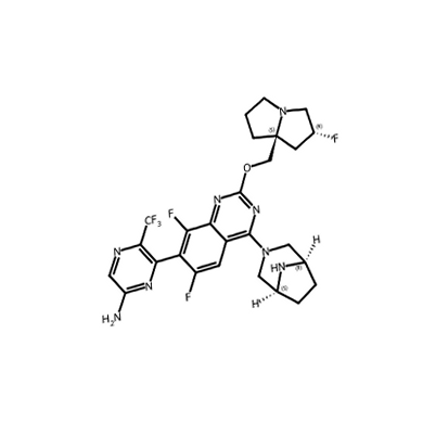 Nc1cnc(C(F)(F)F)c(-c2c(F)cc3c(N4C[C@H]5CC[C@@H](C4)N5)nc(OC[C@@]45CCCN4C[C@H](F)C5)nc3c2F)n1